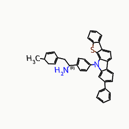 CC1C=CC(C[C@@H](N)c2ccc(-n3c4cc(-c5ccccc5)ccc4c4ccc5c6ccccc6sc5c43)cc2)=CC1